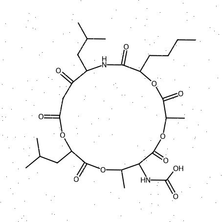 CCCCC1OC(=O)C(C)OC(=O)C(NC(=O)O)C(C)OC(=O)C(CC(C)C)OC(=O)CC(=O)C(CC(C)C)NC1=O